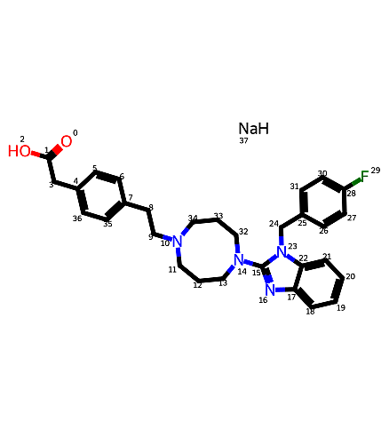 O=C(O)Cc1ccc(CCN2CCCN(c3nc4ccccc4n3Cc3ccc(F)cc3)CCC2)cc1.[NaH]